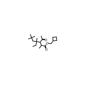 CCC(C)(CC(C)(C)C)C(C(C)=O)C(C)C(=O)OCC1CCC1